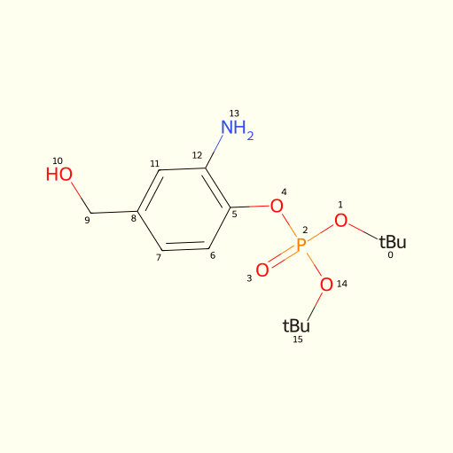 CC(C)(C)OP(=O)(Oc1ccc(CO)cc1N)OC(C)(C)C